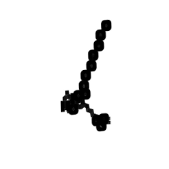 COCCOCCOCCOCCOCCOCCOCC(=O)Oc1cc(CCCCCO[N+](=O)[O-])cc2c1[C@@H]1C=C(C)CC[C@H]1C(C)(C)O2